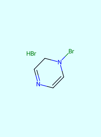 Br.BrN1C=CN=CC1